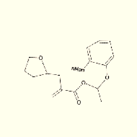 C=C(CC1CCCO1)C(=O)OC(C)Oc1ccccc1CCCCCCCCC